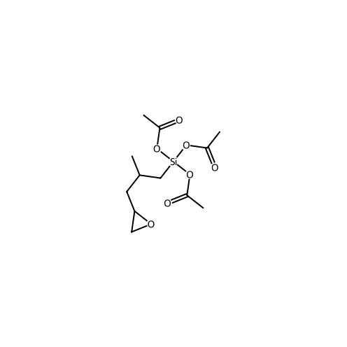 CC(=O)O[Si](CC(C)CC1CO1)(OC(C)=O)OC(C)=O